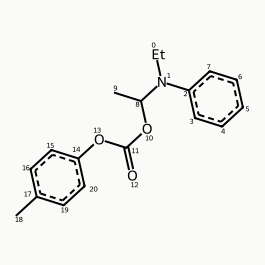 CCN(c1ccccc1)C(C)OC(=O)Oc1ccc(C)cc1